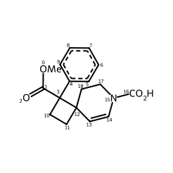 COC(=O)C1(c2ccccc2)CCC12C=CN(C(=O)O)CC2